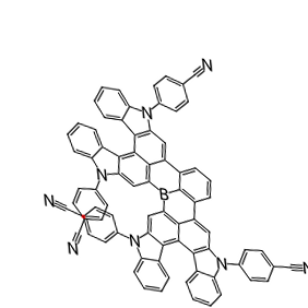 N#Cc1ccc(-n2c3ccccc3c3c4c5c(cc32)B2c3c(cccc3-c3cc6c(c7ccccc7n6-c6ccc(C#N)cc6)c6c3c2cc2c6c3ccccc3n2-c2ccc(C#N)cc2)-c5cc2c4c3ccccc3n2-c2ccc(C#N)cc2)cc1